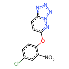 O=[N+]([O-])c1cc(Cl)ccc1Oc1ccc2nnnn2n1